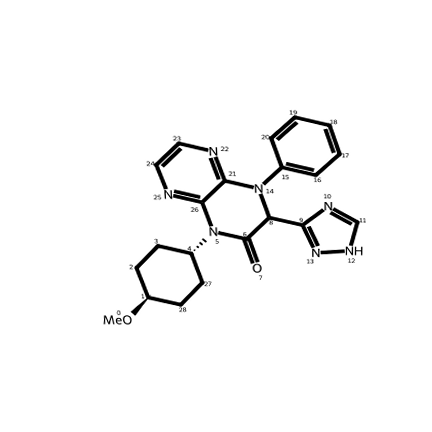 CO[C@H]1CC[C@H](N2C(=O)C(c3nc[nH]n3)N(c3ccccc3)c3nccnc32)CC1